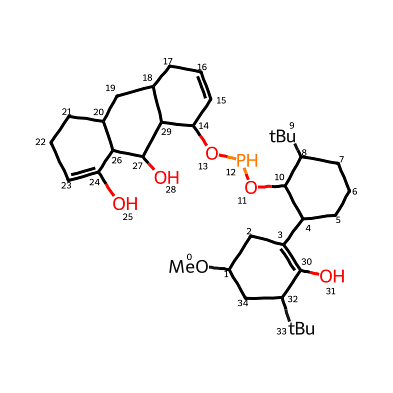 COC1CC(C2CCCC(C(C)(C)C)C2OPOC2C=CCC3CC4CCC=C(O)C4C(O)C32)=C(O)C(C(C)(C)C)C1